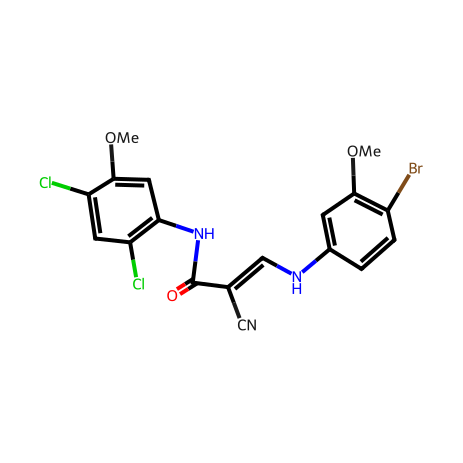 COc1cc(NC(=O)C(C#N)=CNc2ccc(Br)c(OC)c2)c(Cl)cc1Cl